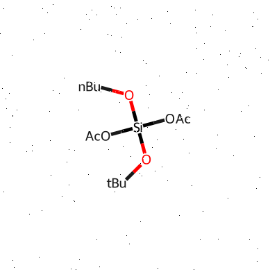 CCCCO[Si](OC(C)=O)(OC(C)=O)OC(C)(C)C